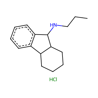 CCCNC1c2ccccc2C2CCCCC21.Cl